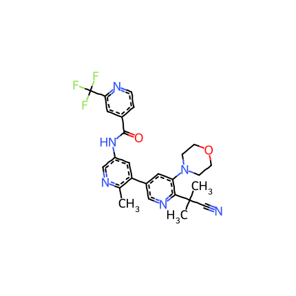 Cc1ncc(NC(=O)c2ccnc(C(F)(F)F)c2)cc1-c1cnc(C(C)(C)C#N)c(N2CCOCC2)c1